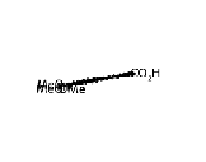 CO[Si](CCCCCCCCCCCCCCCCCCCCCCCCCCCCC(=O)O)(OC)OC